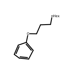 [CH2]CCCCCCCCOc1ccccc1